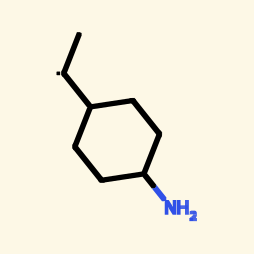 C[CH]C1CCC(N)CC1